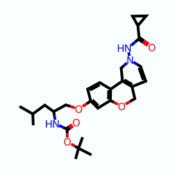 CC(C)CC(COc1ccc2c(c1)OCC1=C2CN(NC(=O)C2CC2)C=C1)NC(=O)OC(C)(C)C